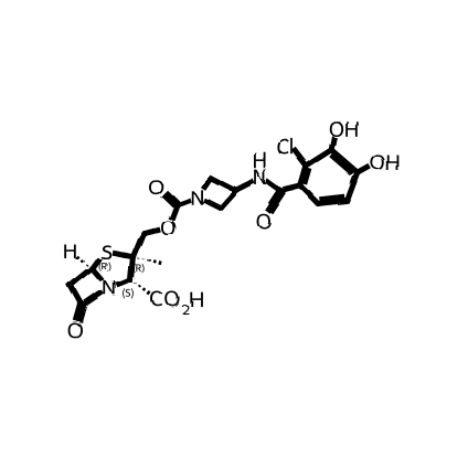 C[C@@]1(COC(=O)N2CC(NC(=O)c3ccc(O)c(O)c3Cl)C2)S[C@@H]2CC(=O)N2[C@H]1C(=O)O